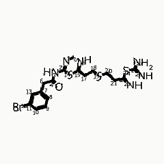 C/N=C(/NC(=O)Cc1cccc(Br)c1)SC(=N)CCSCCC(=N)SC(=N)N